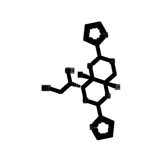 OCC(O)[C@H]1OC(c2cccs2)O[C@H]2COC(c3cccs3)O[C@H]21